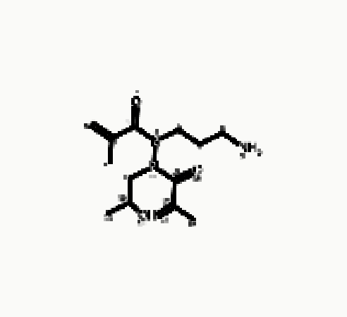 C=C(C)C(=O)N(CCCN)N(CC(C)O)C(=O)C(=C)C